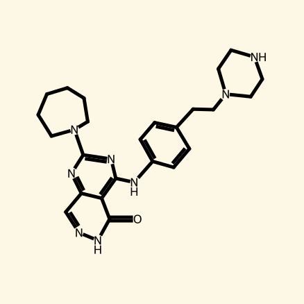 O=c1[nH]ncc2nc(N3CCCCCC3)nc(Nc3ccc(CCN4CCNCC4)cc3)c12